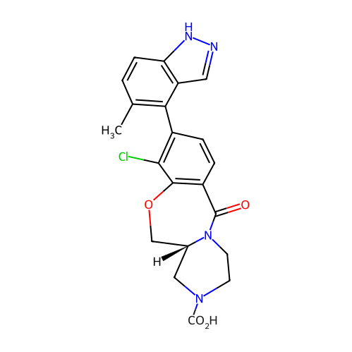 Cc1ccc2[nH]ncc2c1-c1ccc2c(c1Cl)OC[C@H]1CN(C(=O)O)CCN1C2=O